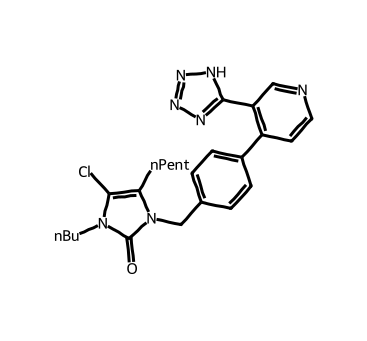 CCCCCc1c(Cl)n(CCCC)c(=O)n1Cc1ccc(-c2ccncc2-c2nnn[nH]2)cc1